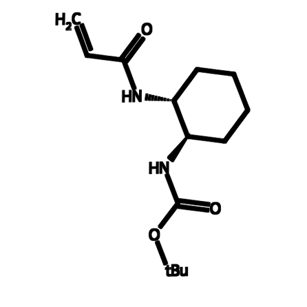 C=CC(=O)N[C@@H]1CCCC[C@H]1NC(=O)OC(C)(C)C